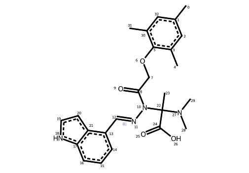 Cc1cc(C)c(OCC(=O)N(/N=C/c2cccc3[nH]ccc23)C(C)(C(=O)O)N(C)C)c(C)c1